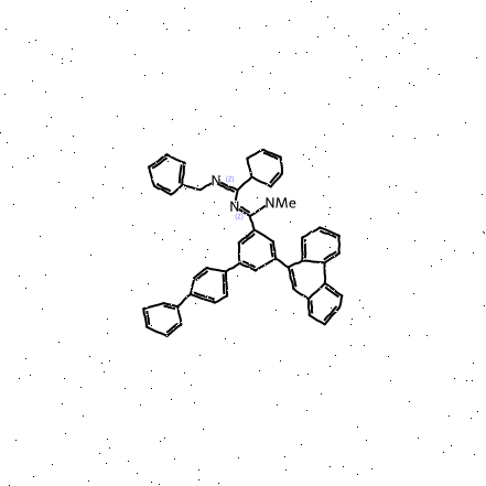 CN/C(=N\C(=N/Cc1ccccc1)C1C=CC=CC1)c1cc(-c2ccc(-c3ccccc3)cc2)cc(-c2cc3ccccc3c3ccccc23)c1